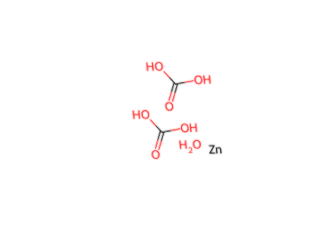 O.O=C(O)O.O=C(O)O.[Zn]